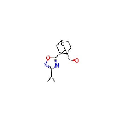 O=CC12CCC(CC1)CC2c1nc(C2CC2)no1